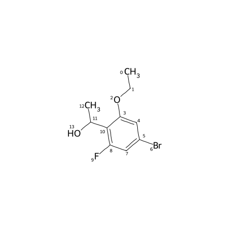 CCOc1cc(Br)cc(F)c1C(C)O